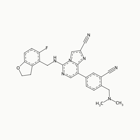 CN(C)Cc1ccc(-c2cnc(NCc3c(F)ccc4c3CCO4)n3cc(C#N)nc23)cc1C#N